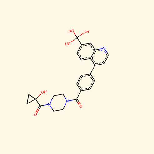 O=C(c1ccc(-c2ccnc3cc(C(O)(O)O)ccc23)cc1)N1CCN(C(=O)C2(O)CC2)CC1